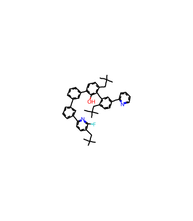 CC(C)(C)Cc1ccc(-c2ccccn2)cc1-c1c(CC(C)(C)C)ccc(-c2cccc(-c3cccc(-c4ccc(CC(C)(C)C)c(F)n4)c3)c2)c1O